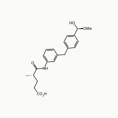 CO[C@H](O)c1ccc(Cc2cccc(NC(=O)[C@@H](C)CCC(=O)O)c2)cc1